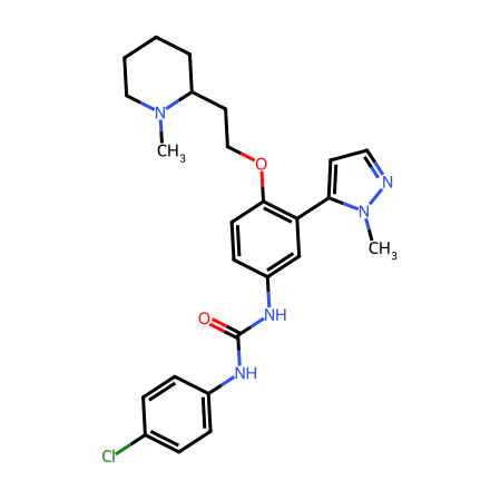 CN1CCCCC1CCOc1ccc(NC(=O)Nc2ccc(Cl)cc2)cc1-c1ccnn1C